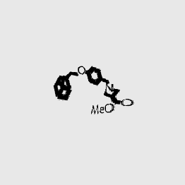 COC(=O)C1CN(Cc2ccc(OCCC3CCC4CC3C4(C)C)cc2)C1